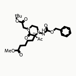 COC(=O)CCCC[C@]1(C(C)=O)C(=O)N(CC(=O)OC(C)(C)C)CCN1NC(=O)OCc1ccccc1